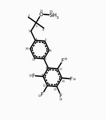 CC(C)(Cc1ccc(-c2c(F)c(F)c(F)c(F)c2F)cc1)O[SiH3]